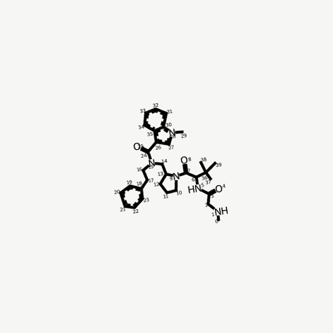 CNCC(=O)NC(C(=O)N1CCCC1CN(CCc1ccccc1)C(=O)c1cn(C)c2ccccc12)C(C)(C)C